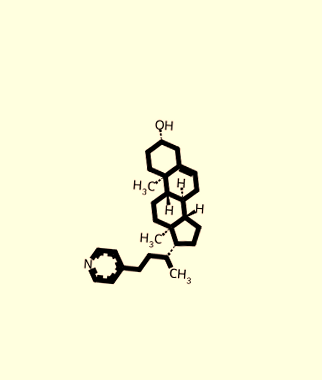 CC(CCc1ccncc1)[C@H]1CC[C@H]2[C@@H]3CC=C4C[C@@H](O)CC[C@]4(C)[C@H]3CC[C@]12C